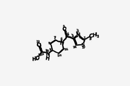 Cc1nc(C(=O)N2CCC(NC(=O)O)CC2)cs1